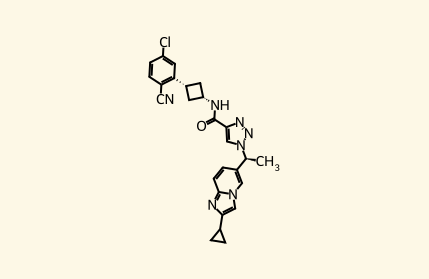 C[C@@H](c1ccc2nc(C3CC3)cn2c1)n1cc(C(=O)N[C@H]2C[C@@H](c3cc(Cl)ccc3C#N)C2)nn1